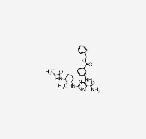 C=CC(=O)NC1CCC[C@@H](Nc2nnc(C(N)=O)c(Nc3cccc(C(=O)OCc4ccccc4)c3)n2)[C@H]1C